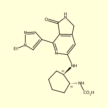 CCn1cc(-c2nc(N[C@@H]3CCCC[C@H]3NC(=O)O)cc3c2C(=O)NC3)cn1